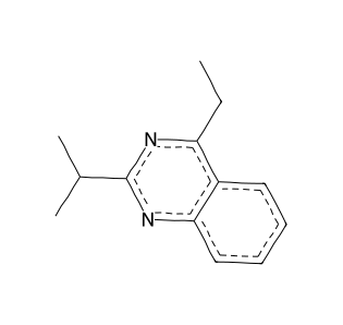 CCc1nc(C(C)C)nc2ccccc12